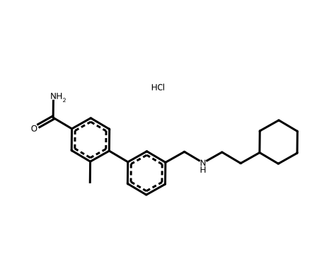 Cc1cc(C(N)=O)ccc1-c1cccc(CNCCC2CCCCC2)c1.Cl